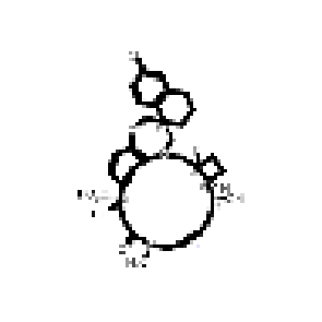 CN1C/C=C\C[C@H](O)[C@@H]2CC[C@H]2CN2C[C@@]3(CCCc4cc(Cl)ccc43)COc3ccc(cc32)[C@@](O)(C(=O)O)CC1=O